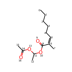 CCCCCC=C(C)C(=O)OC(C)OC(C)=O